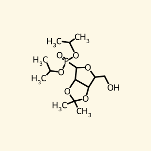 CC(C)OP(=O)(OC(C)C)C1OC(CO)C2OC(C)(C)OC21